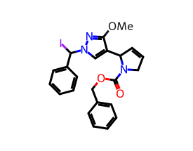 COc1nn(C(I)c2ccccc2)cc1C1C=CCN1C(=O)OCc1ccccc1